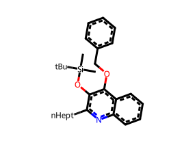 CCCCCCCc1nc2ccccc2c(OCc2ccccc2)c1O[Si](C)(C)C(C)(C)C